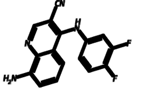 N#Cc1cnc2c(N)cccc2c1Nc1ccc(F)c(F)c1